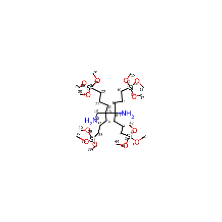 CO[Si](CCCC(N)(CCC[Si](OC)(OC)OC)C(CN)(CCC[Si](OC)(OC)OC)CCC[Si](OC)(OC)OC)(OC)OC